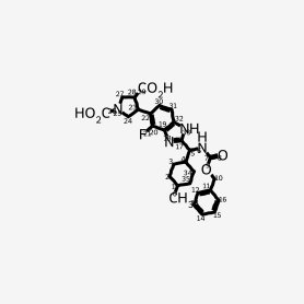 CC1CCC(C(NC(=O)OCc2ccccc2)c2nc3c(F)c(C4CN(C(=O)O)CC4C(=O)O)ccc3[nH]2)CC1